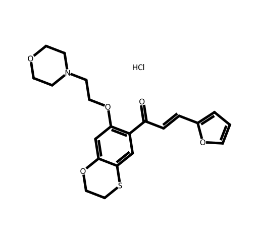 Cl.O=C(/C=C/c1ccco1)c1cc2c(cc1OCCN1CCOCC1)OCCS2